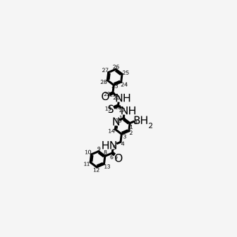 Bc1cc(CNC(=O)c2ccccc2)cnc1NC(=S)NC(=O)c1ccccc1